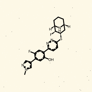 Cn1cc(-c2cc(O)c(-c3ccc(S[C@@H]4C[C@H]5CCC[C@H](N5)[C@@H]4F)nn3)cc2F)cn1